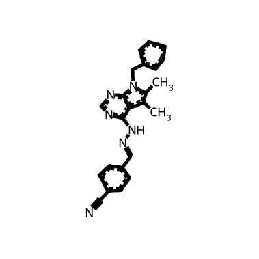 Cc1c(C)n(Cc2ccccc2)c2ncnc(NN=Cc3ccc(C#N)cc3)c12